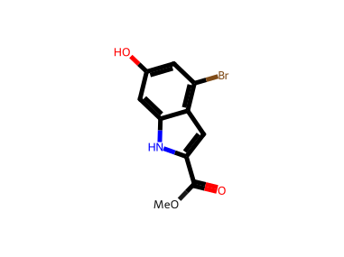 COC(=O)c1cc2c(Br)cc(O)cc2[nH]1